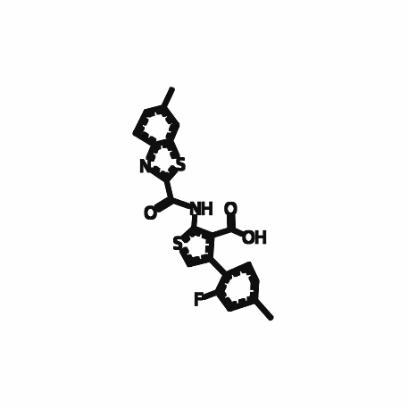 Cc1ccc(-c2csc(NC(=O)c3nc4ccc(C)cc4s3)c2C(=O)O)c(F)c1